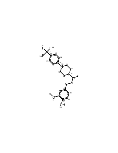 COc1cc(CCC(C)N2CCN(c3ccc(C(F)(F)F)cc3)CC2)ccc1O